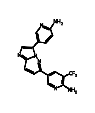 Nc1ccc(-c2cnc3ccc(-c4cnc(N)c(C(F)(F)F)c4)nn23)cn1